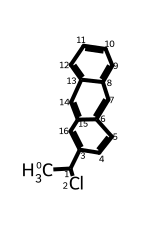 CC(Cl)c1ccc2cc3ccccc3cc2c1